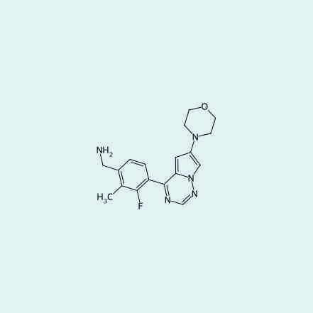 Cc1c(CN)ccc(-c2ncnn3cc(N4CCOCC4)cc23)c1F